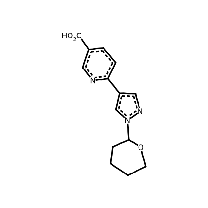 O=C(O)c1ccc(-c2cnn(C3CCCCO3)c2)nc1